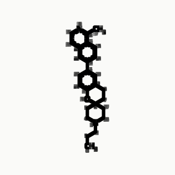 CCCN1CCC2(CCc3cc(-c4ccc5c(C)nccc5c4)ccc3O2)CC1